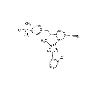 Cn1nc(-c2ccccc2Cl)nc1-c1cc(C#N)ccc1SCc1ccc(C(C)(C)C)cc1